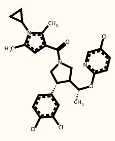 Cc1cc(C(=O)N2CC([C@@H](C)Oc3ccc(Cl)cn3)[C@H](c3ccc(Cl)c(Cl)c3)C2)c(C)n1C1CC1